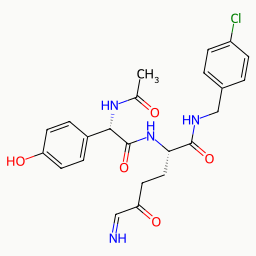 CC(=O)N[C@H](C(=O)N[C@@H](CCC(=O)C=N)C(=O)NCc1ccc(Cl)cc1)c1ccc(O)cc1